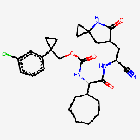 N#C[C@H](CC1CC2(CC2)NC1=O)NC(=O)[C@@H](NC(=O)OCC1(c2cccc(Cl)c2)CC1)C1CCCCCC1